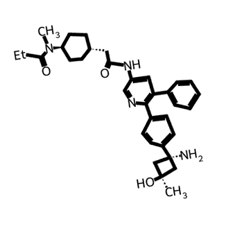 CCC(=O)N(C)[C@H]1CC[C@H](CC(=O)Nc2cnc(-c3ccc([C@]4(N)C[C@](C)(O)C4)cc3)c(-c3ccccc3)c2)CC1